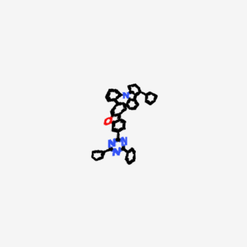 c1ccc(-c2nc(-c3ccccc3)nc(-c3ccc4c(c3)oc3cc(-c5ccccc5-n5c6ccccc6c6c(-c7ccccc7)cccc65)ccc34)n2)cc1